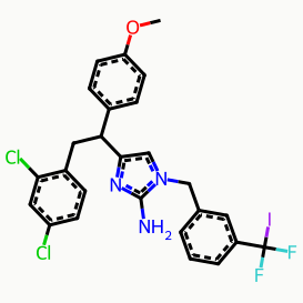 COc1ccc(C(Cc2ccc(Cl)cc2Cl)c2cn(Cc3cccc(C(F)(F)I)c3)c(N)n2)cc1